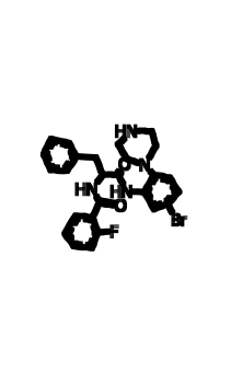 O=C(NC(Cc1ccccc1)C(=O)Nc1cc(Br)ccc1N1CCNCC1)c1ccccc1F